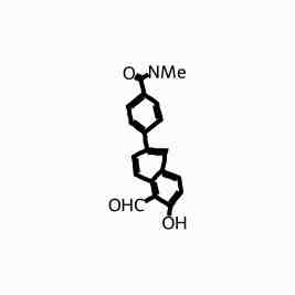 CNC(=O)c1ccc(-c2ccc3c(C=O)c(O)ccc3c2)cc1